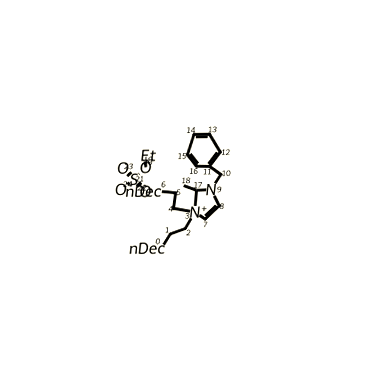 CCCCCCCCCCCC[N+]1(CCCCCCCCCCCC)C=CN(Cc2ccccc2)C1C.CCOS(=O)(=O)[O-]